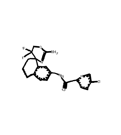 NC1=NC2(CCCc3ccc(NC(=O)c4ccc(Cl)cn4)cc32)C(F)(F)CO1